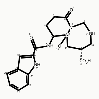 O=C(NC1CCC(=O)N2CNC[C@H](C(=O)O)C[N+]12[O-])c1cc2ccccc2[nH]1